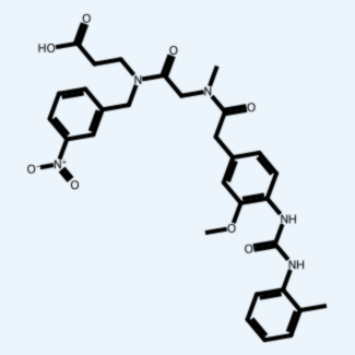 COc1cc(CC(=O)N(C)CC(=O)N(CCC(=O)O)Cc2cccc([N+](=O)[O-])c2)ccc1NC(=O)Nc1ccccc1C